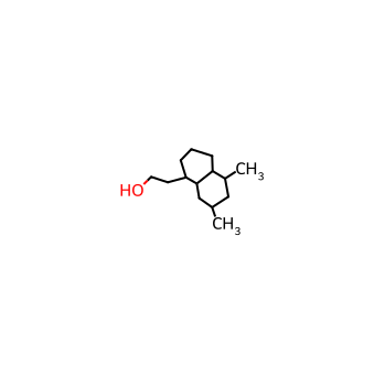 CC1CC(C)C2CCCC(CCO)C2C1